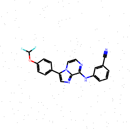 N#Cc1cccc(Nc2nccn3c(-c4ccc(OC(F)F)cc4)cnc23)c1